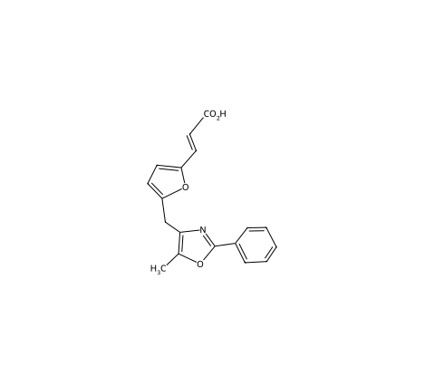 Cc1oc(-c2ccccc2)nc1Cc1ccc(/C=C/C(=O)O)o1